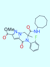 COC(=O)c1cc2n(n1)CC(C)(C(=O)NC1CCCCCCC1)N(c1ccccc1F)C2=O